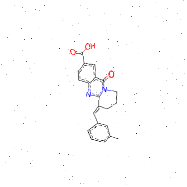 Cc1cccc(/C=C2\CCCn3c2nc2ccc(C(=O)O)cc2c3=O)c1